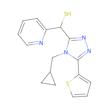 SC(c1ccccn1)c1nnc(-c2cccs2)n1CC1CC1